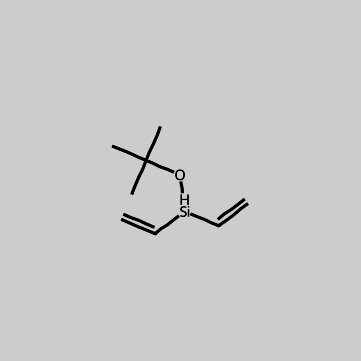 C=C[SiH](C=C)OC(C)(C)C